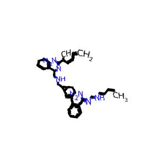 C=C/C=C\C(C)/C(N)=N/C(CNCC1C2C=C(c3ccccc3/C(N)=N/CN/C=C/C=C\C)CCC21)C1=CCCC=C1